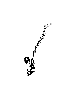 Cc1cc(C)c(C2=C(OCc3ccccc3)[C@]3(CC[C@H](OCCOCCOCCOCCOCCOCCOCC(=O)O)CC3)OC2)c(C)c1